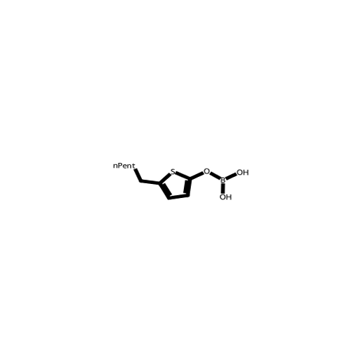 CCCCCCc1ccc(OB(O)O)s1